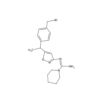 CC(C)Cc1ccc(C(C)c2cc(/N=C(/N)N3CCCCC3)no2)cc1